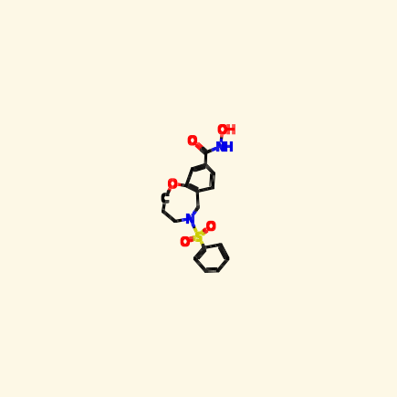 O=C(NO)c1ccc2c(c1)OCCCN(S(=O)(=O)c1ccccc1)C2